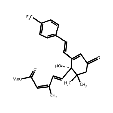 COC(=O)/C=C(C)\C=C\[C@@]1(O)C(/C=C/c2ccc(C(F)(F)F)cc2)=CC(=O)CC1(C)C